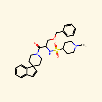 CN1CCC(S(=O)(=O)NC(COCc2ccccc2)C(=O)N2CCC3(C=Cc4ccccc43)CC2)CC1